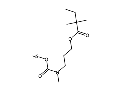 CCC(C)(C)C(=O)OCCCN(C)C(=O)OS